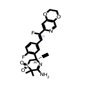 C#C[C@@]1(c2cc(/C=C(\F)c3cc4c(cn3)OCCO4)ccc2F)CS(=O)(=O)C(C)(C)C(N)=N1